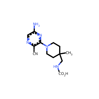 CC1(CNC(=O)O)CCN(c2nc(N)cnc2C#N)CC1